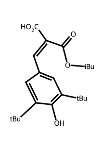 CCC(C)OC(=O)C(=Cc1cc(C(C)(C)C)c(O)c(C(C)(C)C)c1)C(=O)O